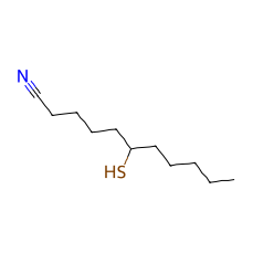 CCCCCC(S)CCCCC#N